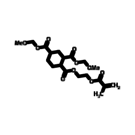 C=C(C)C(=O)OCCOC(=O)C1CCC(C(=O)OCOC)CC1C(=O)OCOC